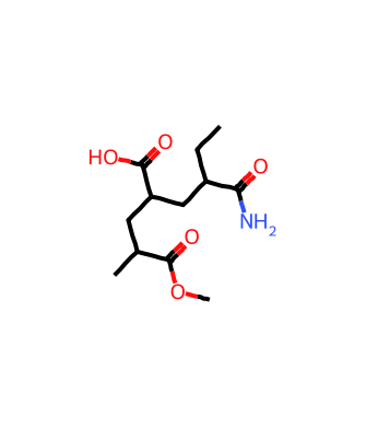 CCC(CC(CC(C)C(=O)OC)C(=O)O)C(N)=O